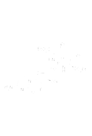 CCOC(=O)[C@H](CC(C)C)NP(=O)(N[C@@H](CC(C)C)C(=O)OCC)OC[C@H]1S[C@@H](n2ccc(N)nc2=O)[C@@H](F)[C@@H]1O